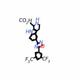 O=C(O)CC1NCCc2c1[nH]c1ccc(-c3noc(-c4cc(C(F)(F)F)cc(C(F)(F)F)c4)n3)cc21